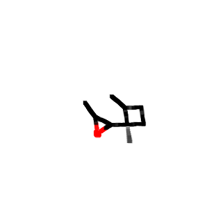 CC1OC1[C@]1(C)CCC1C